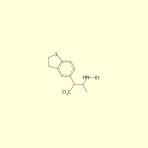 CCNC(C)C(c1ccc2c(c1)CCS2)C(Cl)(Cl)Cl